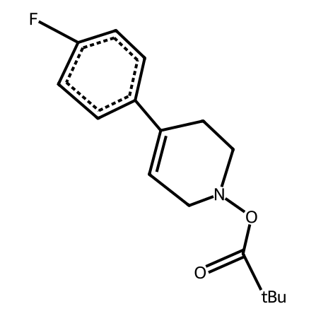 CC(C)(C)C(=O)ON1CC=C(c2ccc(F)cc2)CC1